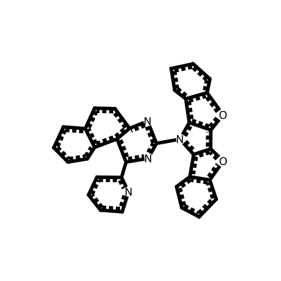 c1ccc(-c2nc(-n3c4c5ccccc5oc4c4oc5ccccc5c43)nc3ccc4ccccc4c23)nc1